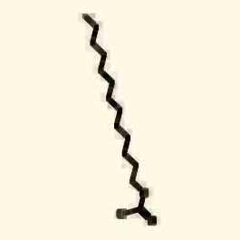 CCCCCCCCCCCCCOC(=O)Cl